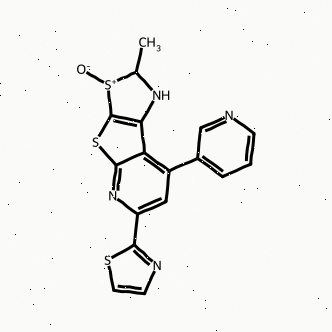 CC1Nc2c(sc3nc(-c4nccs4)cc(-c4cccnc4)c23)[S+]1[O-]